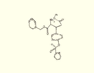 CC(C)OC(=O)CC(c1ccc(OS(=O)(=O)c2ccccc2)cc1)C(N)C(=O)OCc1ccccc1